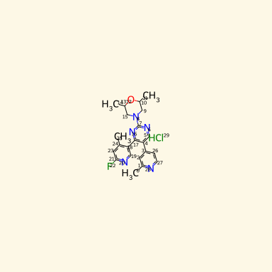 Cc1cc(-c2cnc(N3CC(C)OC(C)C3)nc2-c2cnc(F)cc2C)ccn1.Cl